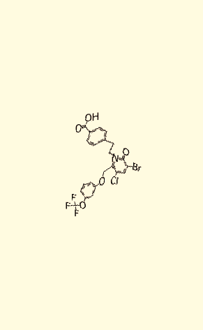 O=C(O)c1ccc(CCn2c(COc3cccc(OC(F)(F)F)c3)c(Cl)cc(Br)c2=O)cc1